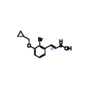 OB/C=C/c1cccc(OCC2CC2)c1Br